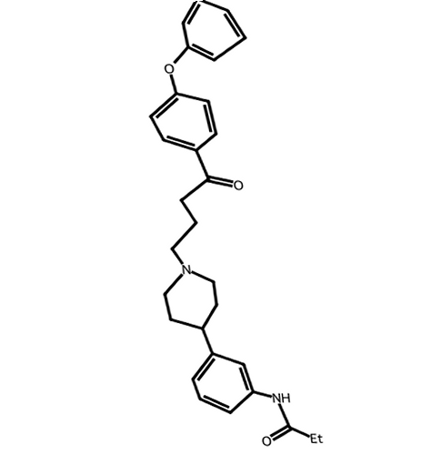 CCC(=O)Nc1cccc(C2CCN(CCCC(=O)c3ccc(Oc4ccccc4)cc3)CC2)c1